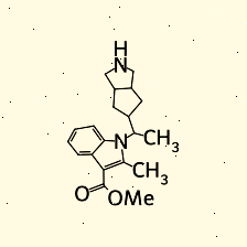 COC(=O)c1c(C)n(C(C)C2CC3CNCC3C2)c2ccccc12